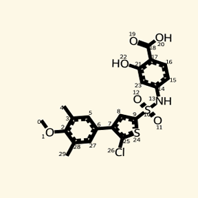 COc1c(C)cc(-c2cc(S(=O)(=O)Nc3ccc(C(=O)O)c(O)c3)sc2Cl)cc1C